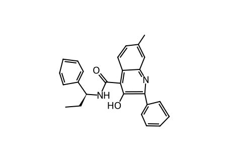 CC[C@H](NC(=O)c1c(O)c(-c2ccccc2)nc2cc(C)ccc12)c1ccccc1